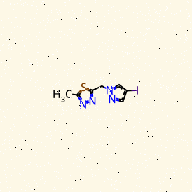 Cc1nnc(Cn2cc(I)cn2)s1